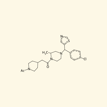 CC(=O)N1CCC(CC(=O)N2CCN(C(c3ccc(Cl)cc3)c3cncs3)CC2C)CC1